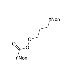 CCCCCCCCCCCCOOC(=O)CCCCCCCCC